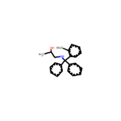 COc1ccccc1C(NCC(C)O)(c1ccccc1)c1ccccc1